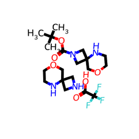 C1COCC2(CNC2)N1.CC(C)(C)OC(=O)N1CC2(COCCN2)C1.O=C(O)C(F)(F)F